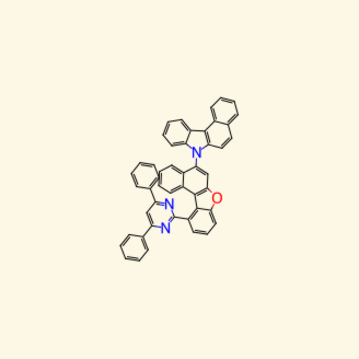 c1ccc(-c2cc(-c3ccccc3)nc(-c3cccc4oc5cc(-n6c7ccccc7c7c8ccccc8ccc76)c6ccccc6c5c34)n2)cc1